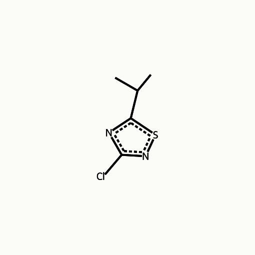 CC(C)c1nc(Cl)ns1